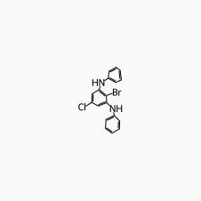 Clc1cc(Nc2ccccc2)c(Br)c(Nc2ccccc2)c1